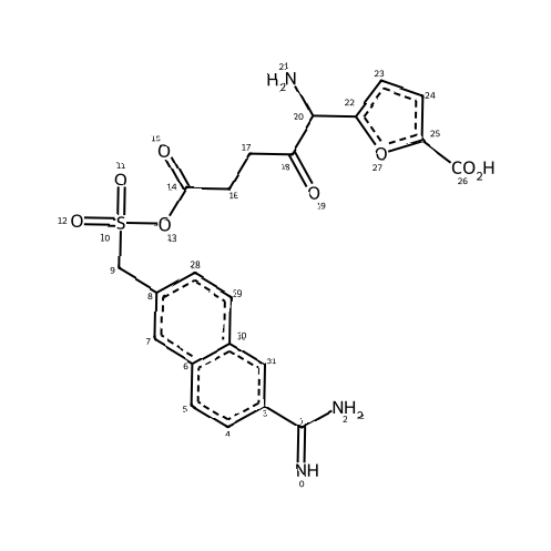 N=C(N)c1ccc2cc(CS(=O)(=O)OC(=O)CCC(=O)C(N)c3ccc(C(=O)O)o3)ccc2c1